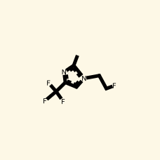 Cc1nc(C(F)(F)F)cn1CCF